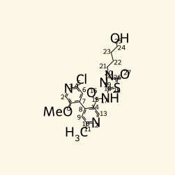 COc1cnc(Cl)cc1-c1cc(C)ncc1C(=O)Nc1nn(CCCCO)c(=O)s1